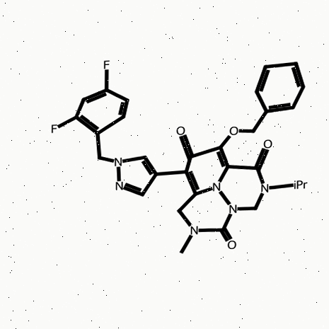 CC(C)N1CN2C(=O)N(C)Cc3c(-c4cnn(Cc5ccc(F)cc5F)c4)c(=O)c(OCc4ccccc4)c(n32)C1=O